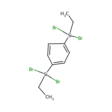 CC[Si](Br)(Br)c1ccc([Si](Br)(Br)CC)cc1